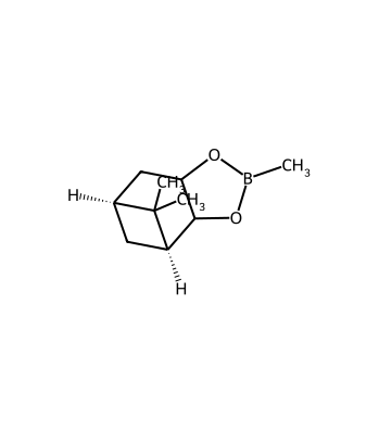 CB1OC2C[C@@H]3C[C@H](C2O1)C3(C)C